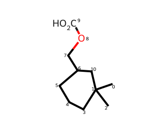 CC1(C)CCCC(COC(=O)O)C1